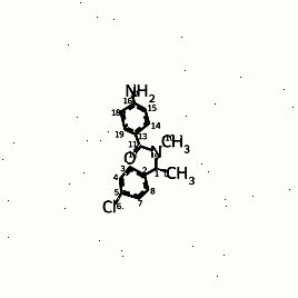 C[C@@H](c1ccc(Cl)cc1)N(C)C(=O)c1ccc(N)cc1